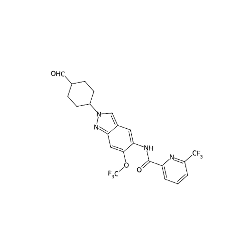 O=CC1CCC(n2cc3cc(NC(=O)c4cccc(C(F)(F)F)n4)c(OC(F)(F)F)cc3n2)CC1